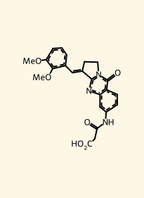 COc1cccc(C=C2CCn3c2nc2cc(NC(=O)CC(=O)O)ccc2c3=O)c1OC